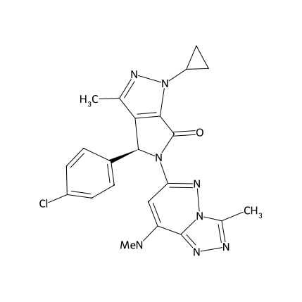 CNc1cc(N2C(=O)c3c(c(C)nn3C3CC3)[C@@H]2c2ccc(Cl)cc2)nn2c(C)nnc12